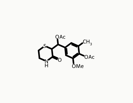 COc1cc(C(OC(C)=O)C2SCCNC2=O)cc(C)c1OC(C)=O